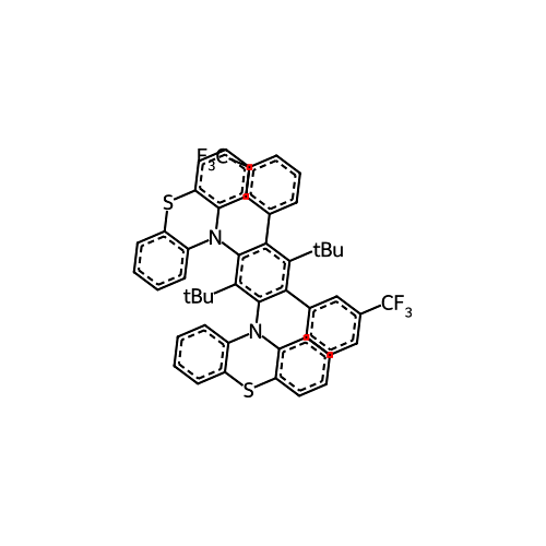 CC(C)(C)c1c(-c2cccc(C(F)(F)F)c2)c(N2c3ccccc3Sc3ccccc32)c(C(C)(C)C)c(N2c3ccccc3Sc3ccccc32)c1-c1cccc(C(F)(F)F)c1